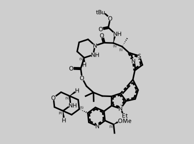 CCn1c(-c2cc([C@H]3C[C@H]4COC[C@@H](C3)N4)cnc2[C@H](C)OC)c2c3cc(ccc31)-c1csc(n1)[C@@H](C)[C@H](NC(=O)OC(C)(C)C)C(=O)N1CCC[C@H](N1)C(=O)OCC(C)(C)C2